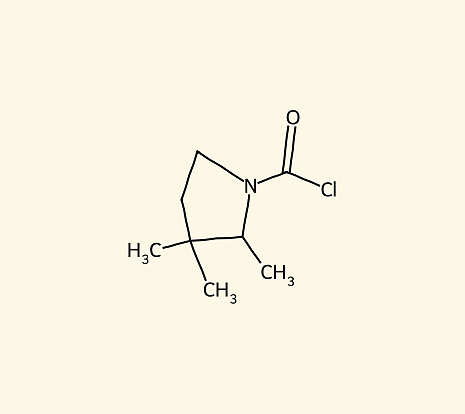 CC1N(C(=O)Cl)CCC1(C)C